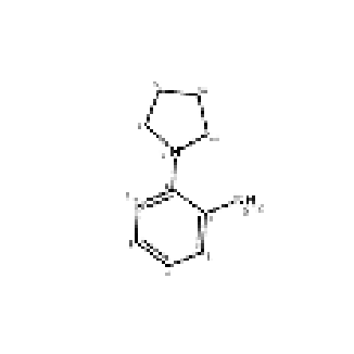 Nc1cccnc1N1CCCC1